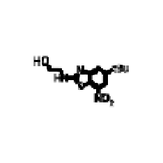 CC(C)(C)c1cc([N+](=O)[O-])c2sc(NCCO)nc2c1